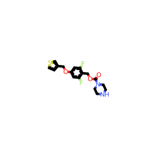 O=C(OCc1c(F)cc(OCc2ccsc2)cc1F)N1CCNCC1